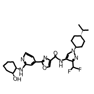 CC(C)[C@H]1CC[C@H](n2cc(NC(=O)c3coc(-c4ccnc(N[C@@H]5CCCC[C@@H]5O)c4)n3)c(C(F)F)n2)CC1